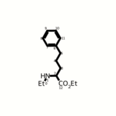 CCNC(CCCc1ccccc1)C(=O)OCC